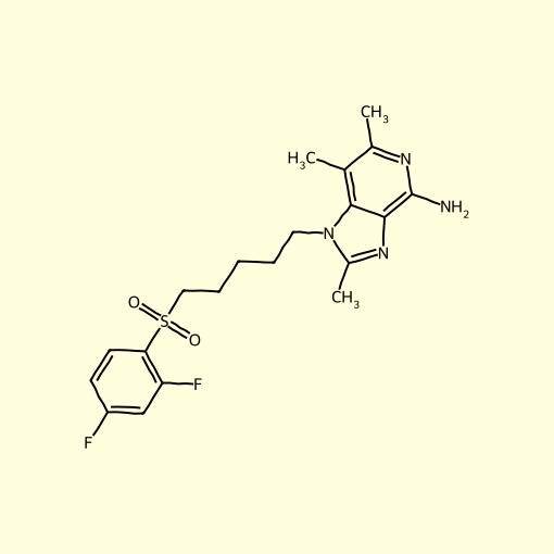 Cc1nc(N)c2nc(C)n(CCCCCS(=O)(=O)c3ccc(F)cc3F)c2c1C